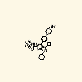 CC(C)N1CCN(c2ccc(-c3cc(C(=O)NS(=O)(=O)N(C)C)nc4c3c(C3CCC3)nn4C3CCCCC3)cc2)CC1